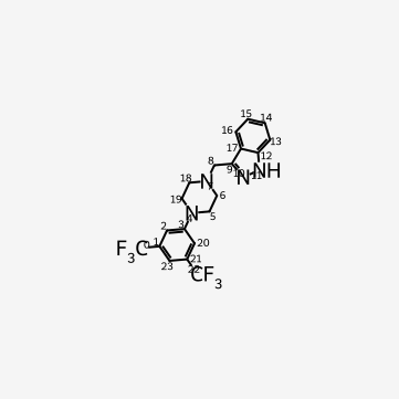 FC(F)(F)c1cc(N2CCN(Cc3n[nH]c4ccccc34)CC2)cc(C(F)(F)F)c1